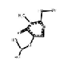 CC(C)Nc1ncc(OB(O)O)c(=O)n1C